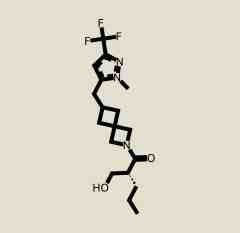 CCC[C@H](CO)C(=O)N1CC2(CC(Cc3cc(C(F)(F)F)nn3C)C2)C1